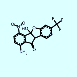 Nc1ccc([N+](=O)[O-])c2c1C(=O)C1c3ccc(C(F)(F)F)cc3OC21O